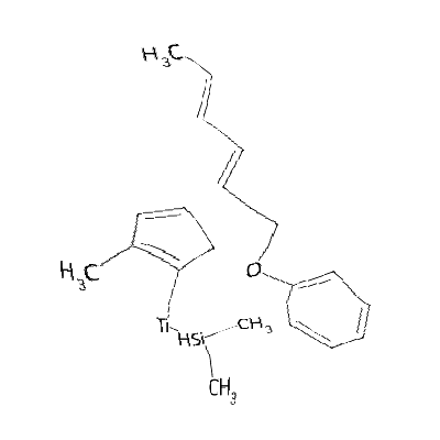 CC1=[C]([Ti][SiH](C)C)CC=C1.CC=CC=CCOc1ccccc1